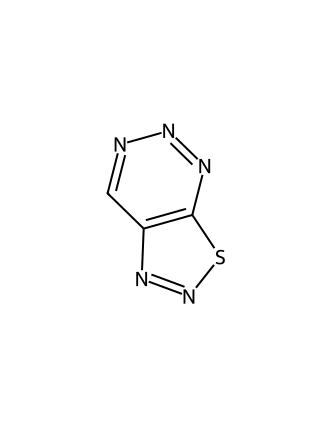 c1nnnc2snnc12